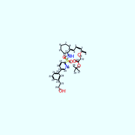 C=C(/C=C\C=C1/CCCCCC1NS(=O)(=O)c1ccc(-c2cccc(CCO)c2)cn1)OCC(=O)OC(C)(C)C